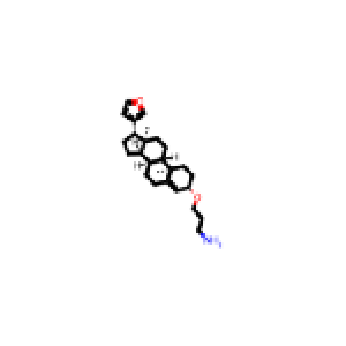 C[C@]12CC[C@H]3[C@@H](CCC4=C[C@@H](OCCCN)CC[C@@]43C)[C@H]1CC[C@@H]2c1ccoc1